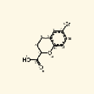 O=C(O)C1CCc2cc(Br)ccc2O1